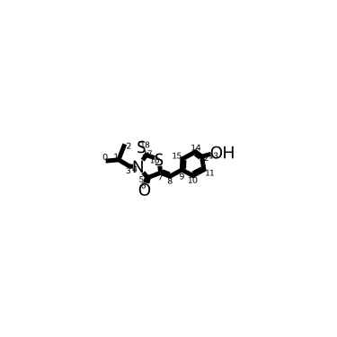 CC(C)CN1C(=O)C(=Cc2ccc(O)cc2)SC1=S